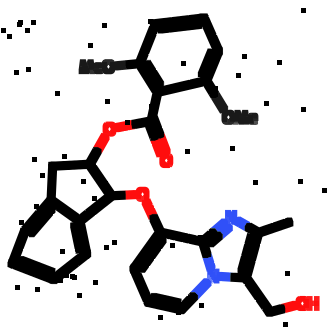 COc1cccc(OC)c1C(=O)OC1Cc2ccccc2C1Oc1cccn2c(CO)c(C)nc12